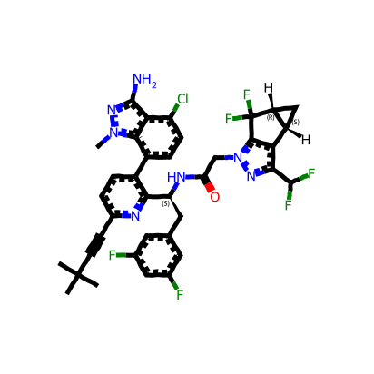 Cn1nc(N)c2c(Cl)ccc(-c3ccc(C#CC(C)(C)C)nc3[C@H](Cc3cc(F)cc(F)c3)NC(=O)Cn3nc(C(F)F)c4c3C(F)(F)[C@@H]3C[C@H]43)c21